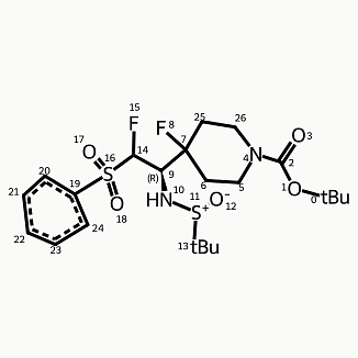 CC(C)(C)OC(=O)N1CCC(F)([C@@H](N[S+]([O-])C(C)(C)C)C(F)S(=O)(=O)c2ccccc2)CC1